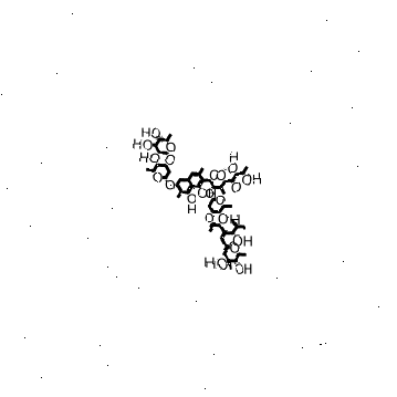 COC(C(=O)C(O)C(C)O)C(C)C(OC1CC(OC(C)CC(CC2CC(C)(O)C(O)C(C)O2)C(O)C(C)C)C(O)C(C)O1)C(=O)c1c(C)cc2cc(OC3CC(OC4CC(O)[C@@H](O)C(C)O4)C(O)C(C)O3)c(C)c(O)c2c1O